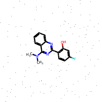 CN(C)c1nc(-c2ccc(F)cc2O)nc2ccccc12